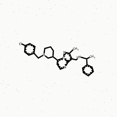 Cc1nn2c(C3CCCN(Cc4ccc(Cl)cc4)C3)ccnc2c1CNC(C)c1ccccc1